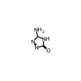 NC1N=NC(=O)N1